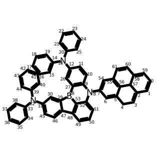 C1=CC2=CCc3cc(N4c5ccc(N(c6ccccc6)c6ccccc6)cc5B5c6cc(N(c7ccccc7)c7ccccc7)ccc6-c6cccc4c65)cc4c3C2C(=C1)C=C4